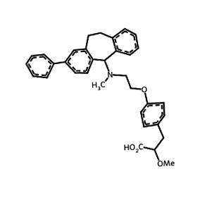 COC(Cc1ccc(OCCN(C)C2c3ccccc3CCc3cc(-c4ccccc4)ccc32)cc1)C(=O)O